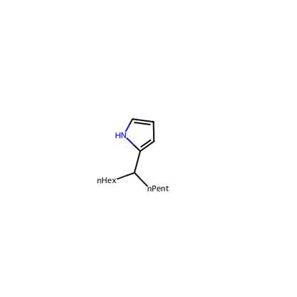 CCCCCCC(CCCCC)c1ccc[nH]1